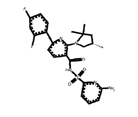 C[C@@H]1CN(c2nc(-c3ccc(F)cc3F)ccc2C(=O)NS(=O)(=O)c2cccc(N)n2)C(C)(C)C1